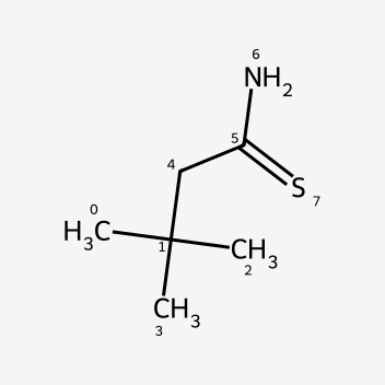 CC(C)(C)CC(N)=S